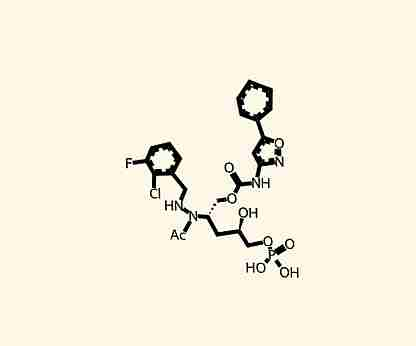 CC(=O)N(NCc1cccc(F)c1Cl)[C@H](COC(=O)Nc1cc(-c2ccccc2)on1)C[C@@H](O)COP(=O)(O)O